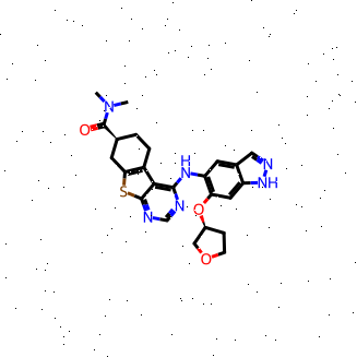 CN(C)C(=O)[C@H]1CCc2c(sc3ncnc(Nc4cc5cn[nH]c5cc4O[C@H]4CCOC4)c23)C1